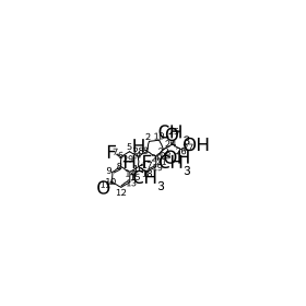 C[C@H]1C[C@H]2[C@@H]3C[C@H](F)C4=CC(=O)C=C[C@]4(C)[C@@]3(F)C=C[C@]2(C)[C@@]1(O)C(=O)CO